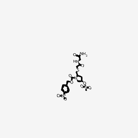 CS(=O)(=O)OC1CC(CSCC(=O)NCC(N)=O)N(C(=O)OCc2ccc([N+](=O)[O-])cc2)C1